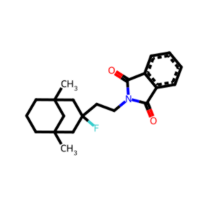 CC12CCCC(C)(C1)CC(F)(CCN1C(=O)c3ccccc3C1=O)C2